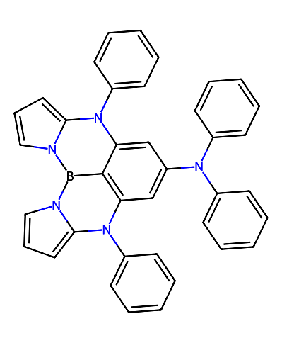 c1ccc(N(c2ccccc2)c2cc3c4c(c2)N(c2ccccc2)c2cccn2B4n2cccc2N3c2ccccc2)cc1